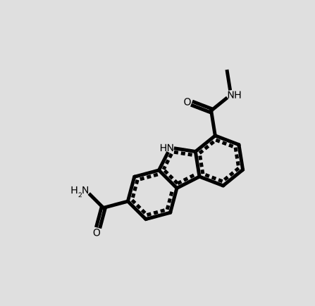 CNC(=O)c1cccc2c1[nH]c1cc(C(N)=O)ccc12